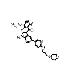 Nc1ccc(F)c(C(=O)c2c[nH]c3ncc(-c4ccc(OCCCN5CCOCC5)nc4)cc23)c1F